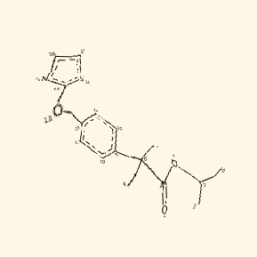 CC(C)OC(=O)C(C)(C)c1ccc(Oc2nccs2)cc1